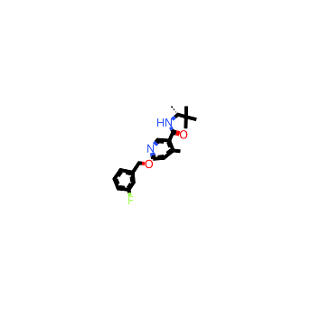 Cc1cc(OCc2cccc(F)c2)ncc1C(=O)N[C@H](C)C(C)(C)C